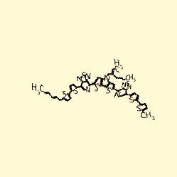 CCCCCCc1ccc(-c2ccc(-c3cnc(-c4cc5c(s4)c4sc(-c6ncc(-c7ccc(-c8ccc(C)s8)s7)c7nsnc67)cc4n5CC(CC)CCCC)c4nsnc34)s2)s1